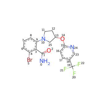 NC(=O)c1c(Br)cccc1N1CCC(Oc2ccc(C(F)(F)F)cn2)C1